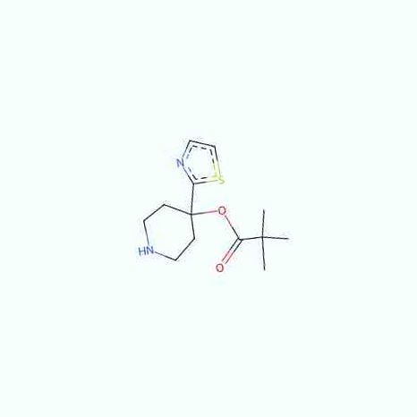 CC(C)(C)C(=O)OC1(c2nccs2)CCNCC1